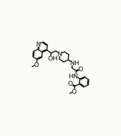 COC(=O)c1ccccc1NC(=O)CNC1CCN(CC(O)c2ccnc3ccc(OC)cc23)CC1